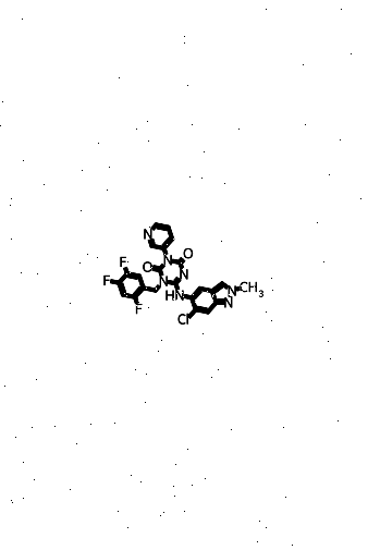 Cn1cc2cc(Nc3nc(=O)n(-c4cccnc4)c(=O)n3Cc3cc(F)c(F)cc3F)c(Cl)cc2n1